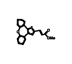 COC(=O)C=Cc1cc2c(s1)-c1ccccc1Oc1ccccc1-2